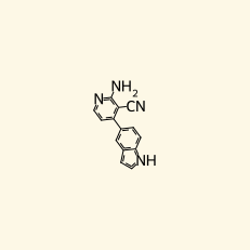 N#Cc1c(-c2ccc3[nH]ccc3c2)ccnc1N